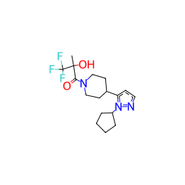 CC(O)(C(=O)N1CCC(c2ccnn2C2CCCC2)CC1)C(F)(F)F